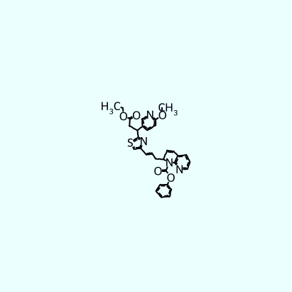 CCOC(=O)CC(c1ccc(OC)nc1)c1nc(C=CCC2C=Cc3cccnc3N2C(=O)Oc2ccccc2)cs1